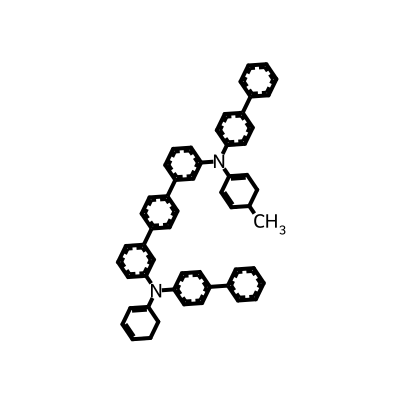 CC1C=CC(N(c2ccc(-c3ccccc3)cc2)c2cccc(-c3ccc(-c4cccc(N(C5=CC=CCC5)c5ccc(-c6ccccc6)cc5)c4)cc3)c2)=CC1